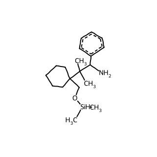 C[SiH](C)OCC1(C(C)(C)C(N)c2ccccc2)CCCCC1